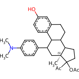 CC(=O)OC1(C(C)=O)CCC2C3CCc4cc(O)ccc4C3C(c3ccc(N(C)C)cc3)C[C@@]21C